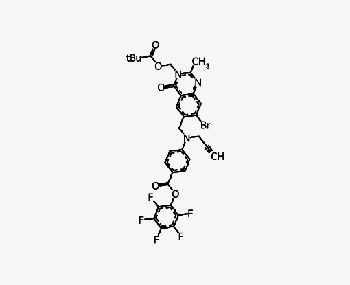 C#CCN(Cc1cc2c(=O)n(COC(=O)C(C)(C)C)c(C)nc2cc1Br)c1ccc(C(=O)Oc2c(F)c(F)c(F)c(F)c2F)cc1